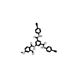 C#Cc1ccc(NC(=O)c2cc(NC(=O)c3ccc(OC)cc3C=O)cc(C(=O)Nc3ccc(C#C)cc3)c2)cc1